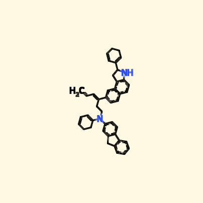 C=C/C=C(\CCN(C1=CC=CCC1)c1ccc2c(c1)Cc1ccccc1-2)c1ccc2ccc3c(c2c1)CC(C1=CCCC=C1)N3